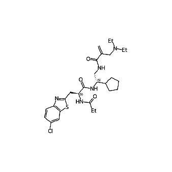 C=C(CN(CC)CC)C(=O)NC[C@@H](NC(=O)[C@H](Cc1nc2ccc(Cl)cc2s1)NC(=O)CC)C1CCCC1